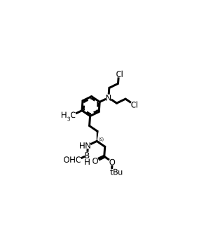 Cc1ccc(N(CCCl)CCCl)cc1CC[C@@H](CC(=O)OC(C)(C)C)NBC=O